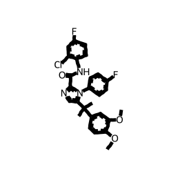 COc1ccc(C(C)(C)c2cnc(C(=O)Nc3ccc(F)cc3Cl)n2-c2ccc(F)cc2)cc1OC